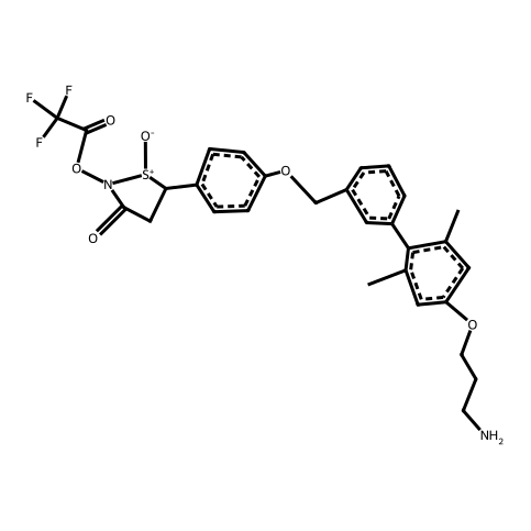 Cc1cc(OCCCN)cc(C)c1-c1cccc(COc2ccc(C3CC(=O)N(OC(=O)C(F)(F)F)[S+]3[O-])cc2)c1